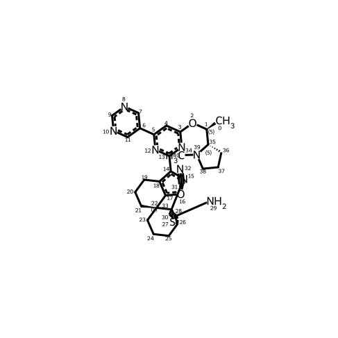 C[C@H](Oc1cc(-c2cncnc2)nc(-c2noc3c2CCC[C@@]32CCCc3sc(N)c(C#N)c32)n1)[C@@H]1CCCN1C